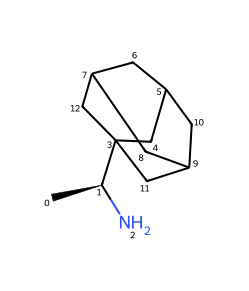 C[C@H](N)C12CC3CC(CC(C3)C1)C2